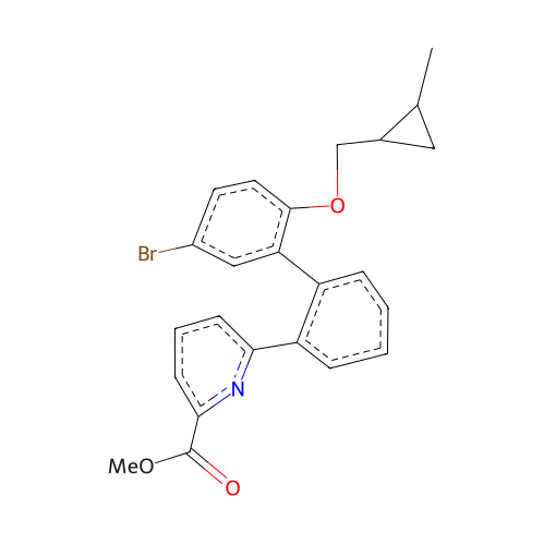 COC(=O)c1cccc(-c2ccccc2-c2cc(Br)ccc2OCC2CC2C)n1